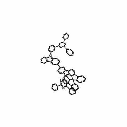 c1ccc(-c2cc(-c3ccccc3)cc(-c3cccc(-n4c5ccccc5c5cc(-c6ccc7c(c6)c6ccc8c(c6n7-c6nc(-c7ccccc7)nc(-c7ccccc7)n6)C6(c7ccccc7-8)c7ccccc7C7CCCCC76)ccc54)c3)c2)cc1